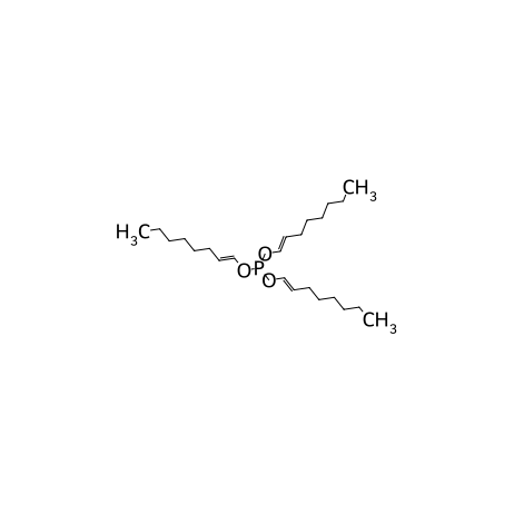 CCCCCCC=COP(OC=CCCCCCC)OC=CCCCCCC